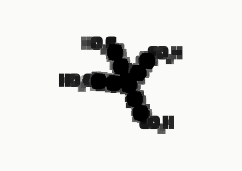 O=C(O)c1ccc(-c2ccc(C34CC5(c6ccc(-c7ccc(C(=O)O)cc7)cc6)CC(c6ccc(-c7ccc(C(=O)O)cc7)cc6)(C3)CC(c3ccc(-c6ccc(C(=O)O)cc6)cc3)(C4)C5)cc2)cc1